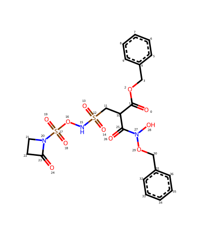 O=C(OCc1ccccc1)C(CS(=O)(=O)NOS(=O)(=O)N1CCC1=O)C(=O)N(O)OCc1ccccc1